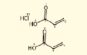 C=CC(=O)O.C=CC(=O)O.Cl